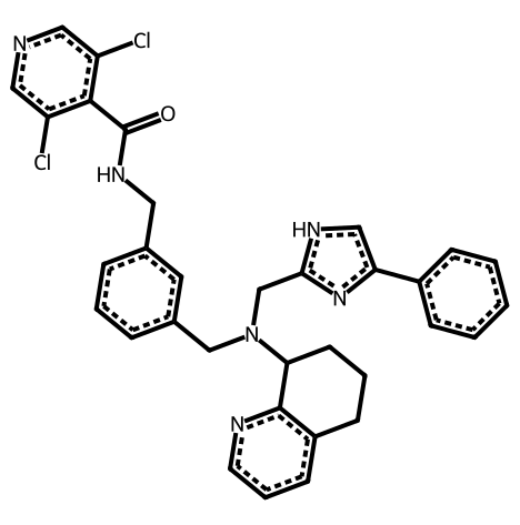 O=C(NCc1cccc(CN(Cc2nc(-c3ccccc3)c[nH]2)C2CCCc3cccnc32)c1)c1c(Cl)cncc1Cl